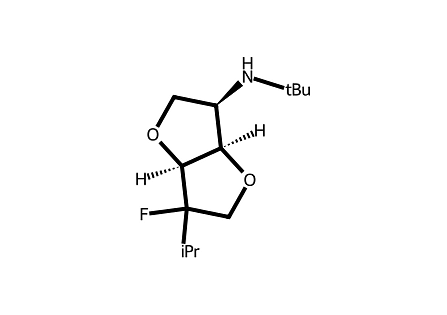 CC(C)C1(F)CO[C@@H]2[C@H](NC(C)(C)C)CO[C@@H]21